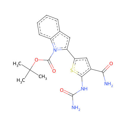 CC(C)(C)OC(=O)n1c(-c2cc(C(N)=O)c(NC(N)=O)s2)cc2ccccc21